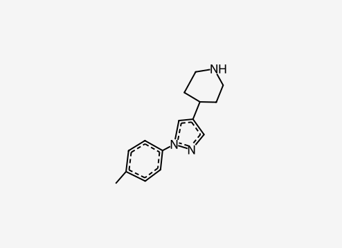 Cc1ccc(-n2cc(C3CCNCC3)cn2)cc1